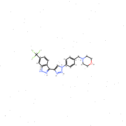 FC(F)(F)c1ccc2c(-c3cn(-c4ccc(CN5CCOCC5)cc4)nn3)n[nH]c2c1